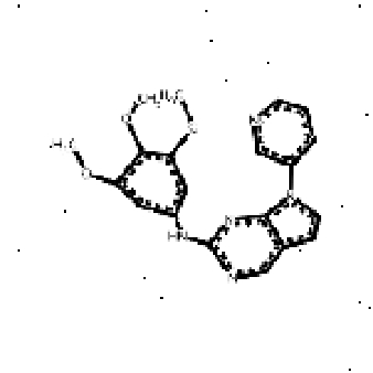 COc1cc(Nc2ncc3ccn(-c4cccnc4)c3n2)cc(OC)c1OC